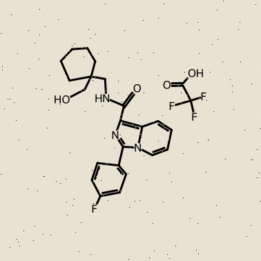 O=C(NCC1(CO)CCCCC1)c1nc(-c2ccc(F)cc2)n2ccccc12.O=C(O)C(F)(F)F